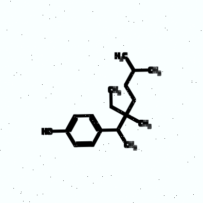 CCC(C)(CCC(C)C)C(C)c1ccc(O)cc1